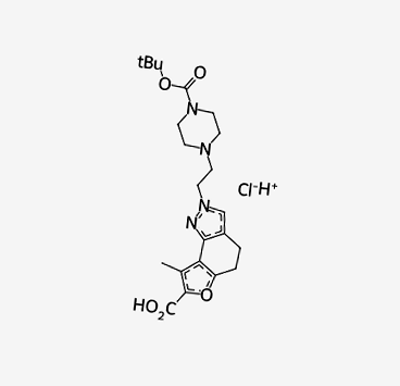 Cc1c(C(=O)O)oc2c1-c1nn(CCN3CCN(C(=O)OC(C)(C)C)CC3)cc1CC2.[Cl-].[H+]